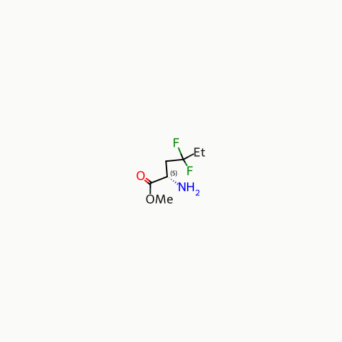 CCC(F)(F)C[C@H](N)C(=O)OC